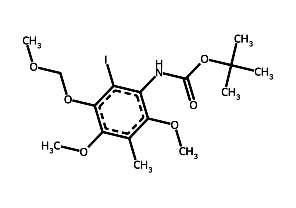 COCOc1c(I)c(NC(=O)OC(C)(C)C)c(OC)c(C)c1OC